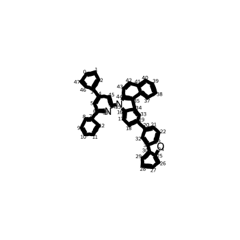 c1ccc(-c2cc(-c3ccccc3)nc(-n3c4ccc(-c5ccc6oc7ccccc7c6c5)cc4c4c5ccccc5ccc43)c2)cc1